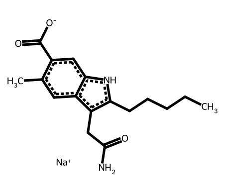 CCCCCc1[nH]c2cc(C(=O)[O-])c(C)cc2c1CC(N)=O.[Na+]